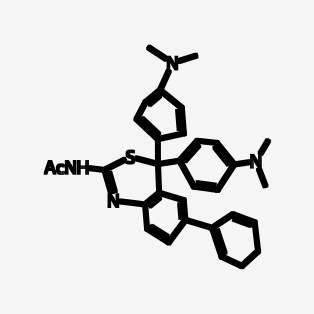 CC(=O)NC1=Nc2ccc(C3=CCCC=C3)cc2C(c2ccc(N(C)C)cc2)(c2ccc(N(C)C)cc2)S1